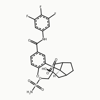 NS(=O)(=O)OC[C@]1(O)CC2CCC(C1)[C@H]2S(=O)(=O)c1cc(C(=O)Nc2cc(F)c(F)c(F)c2)ccc1Cl